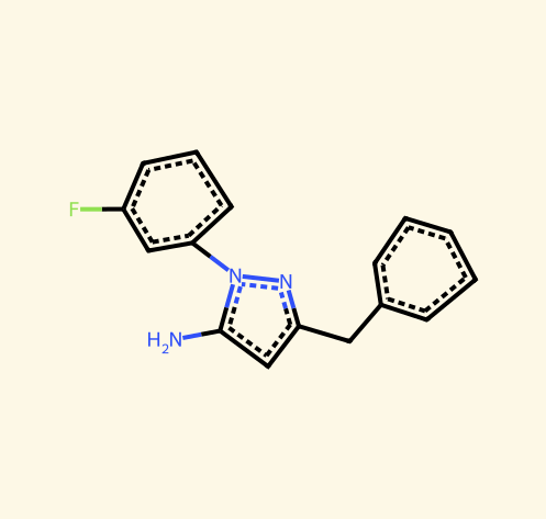 Nc1cc(Cc2ccccc2)nn1-c1cccc(F)c1